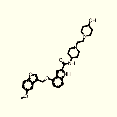 COc1ccc2occ(COc3cccc4[nH]c(C(=O)NC5CCN(CCN6CCC(O)CC6)CC5)cc34)c2c1